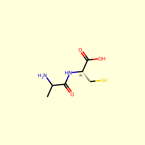 CC(N)C(=O)N[C@@H](CS)C(=O)O